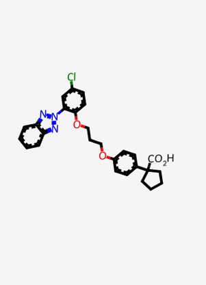 O=C(O)C1(c2ccc(OCCCOc3ccc(Cl)cc3-n3nc4ccccc4n3)cc2)CCCC1